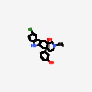 CN1CC[C@@]2(c3cccc(O)c3)Cc3[nH]c4ccc(Cl)cc4c3C[C@]2(O)C1